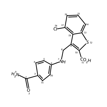 NC(=O)c1ccc(NCc2c(C(=O)O)sc3cccc(Cl)c23)cc1